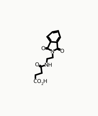 O=C(O)CCC(=O)NCCN1C(=O)c2ccccc2C1=O